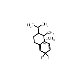 CC(C)C1CCC2=CC(F)(F)C=C[C@]2(C)C1C